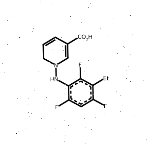 CCc1c(F)cc(F)c(NN2C=C(C(=O)O)C=CC2)c1F